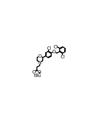 CC(C)(C)OC(=O)CCN1CCOC(c2ccc(OCc3c(Cl)cccc3Cl)c(Cl)c2)C1